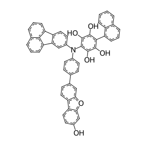 Oc1ccc2c(c1)oc1cc(-c3ccc(N(c4ccc5c(c4)-c4cccc6cccc-5c46)c4c(O)c(O)c(-c5cccc6ccccc56)c(O)c4O)cc3)ccc12